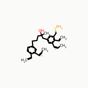 C=Cc1ccc(CCCC(C)(O)Cc2cc(/C=C\C)c(C=C)c(CSP)c2)cc1/C=C\C